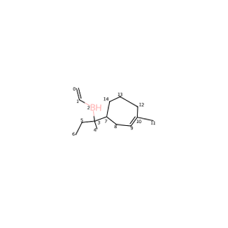 C=CBC(C)(CC)C1CC=C(C)CCC1